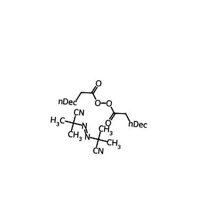 CC(C)(C#N)N=NC(C)(C)C#N.CCCCCCCCCCCC(=O)OOC(=O)CCCCCCCCCCC